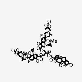 COc1c(N2CCN(Cc3oc(=O)oc3C)C(C)C2)c(F)cc2c(=O)c(C(=O)OCC(COC(=O)c3cn(C4CC4)c4c(OC)c(N5CCN(Cc6oc(=O)oc6C)C(C)C5)c(F)cc4c3=O)C(=O)OCC(=O)[C@@]34CC[C@H]5[C@@H]6CCC7=CC(=O)C=C[C@]7(C)C6[C@@H](O)C[C@@]53O4)cn(C3CC3)c12